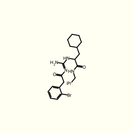 CC(C)CNC(=O)C(CC1CCCCC1)NC(N)=NC(=O)Cc1ccccc1Br